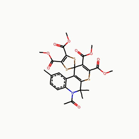 COC(=O)C1=C(C(=O)OC)SC2(S1)C(C(=O)OC)=C(C(=O)OC)SC1=C2c2cc(C)ccc2N(C(C)=O)C1(C)C